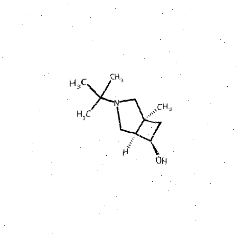 CC(C)(C)N1C[C@@H]2[C@H](O)C[C@]2(C)C1